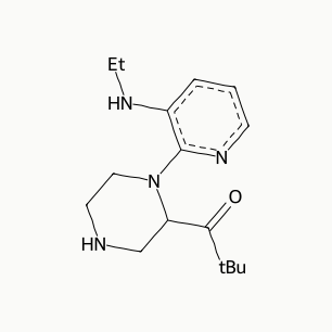 CCNc1cccnc1N1CCNCC1C(=O)C(C)(C)C